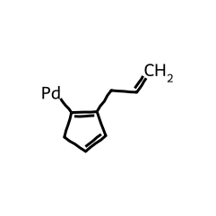 C=CCC1=[C]([Pd])CC=C1